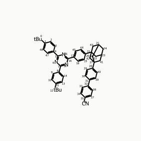 CC(C)(C)c1ccc(-c2nc(-c3ccc(C(C)(C)C)cc3)nc(-c3ccc(C45CC6CC(CC(c7ccc(-c8ccc(C#N)cc8)cc7)(C6)C4)C5)cc3)n2)cc1